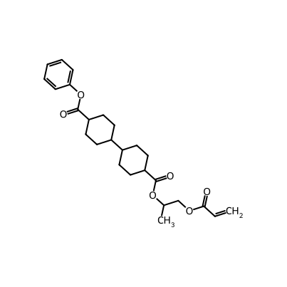 C=CC(=O)OCC(C)OC(=O)C1CCC(C2CCC(C(=O)Oc3ccccc3)CC2)CC1